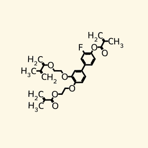 C=C(C)C(=C)OCCOc1cc(-c2ccc(OC(=O)C(=C)C)c(F)c2)ccc1OCCOC(=O)C(=C)C